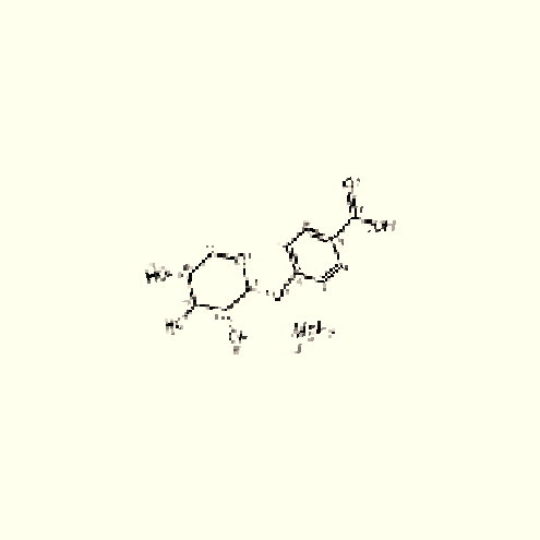 O=C(O)c1ccc(O[C@H]2OC[C@@H](O)[C@H](O)[C@H]2O)cc1.[MgH2]